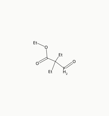 CCOC(=O)C(CC)(CC)[PH2]=O